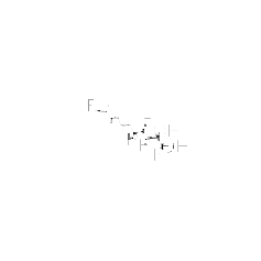 OC(F)C(O)C(F)C(F)C(F)CCCCCCF